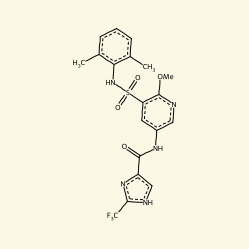 COc1ncc(NC(=O)c2c[nH]c(C(F)(F)F)n2)cc1S(=O)(=O)Nc1c(C)cccc1C